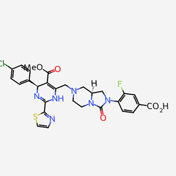 COC(=O)C1=C(CN2CCN3C(=O)N(c4ccc(C(=O)O)cc4F)C[C@@H]3C2)NC(c2nccs2)=N[C@H]1c1ccc(Cl)cc1